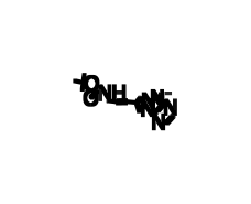 CC(C)(C)OC(=O)NCC#Cc1cn2c3nccnc3[n-][n+]2c1